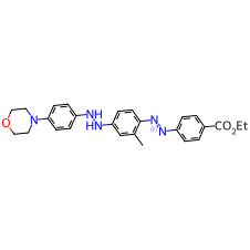 CCOC(=O)c1ccc(/N=N/c2ccc(NNc3ccc(N4CCOCC4)cc3)cc2C)cc1